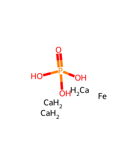 O=P(O)(O)O.[CaH2].[CaH2].[CaH2].[Fe]